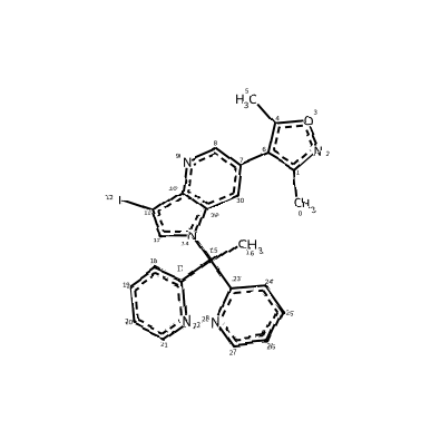 Cc1noc(C)c1-c1cnc2c(I)cn(C(C)(c3ccccn3)c3ccccn3)c2c1